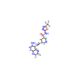 Cc1nc2cnc(N)c(C#Cc3cncc(C(=O)Nc4nnc(C(C)(C)C)o4)c3)c2nc1C